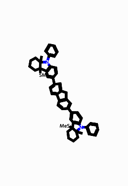 CSC12CCCCC1(C)N(c1ccccc1)c1ccc(-c3ccc4c(c3)Cc3cc(-c5ccc6c(c5)C5(SC)CCCCC5(C)N6c5ccccc5)ccc3-4)cc12